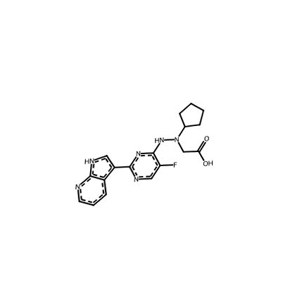 O=C(O)CN(Nc1nc(-c2c[nH]c3ncccc23)ncc1F)C1CCCC1